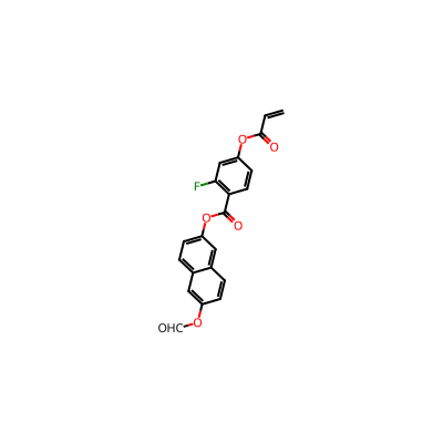 C=CC(=O)Oc1ccc(C(=O)Oc2ccc3cc(OC=O)ccc3c2)c(F)c1